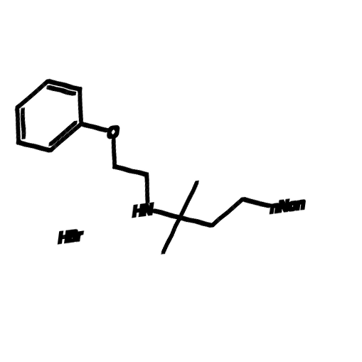 Br.CCCCCCCCCCCC(C)(C)NCCOc1ccccc1